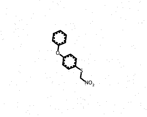 O=[N+]([O-])CSc1ccc(Oc2ccccc2)cc1